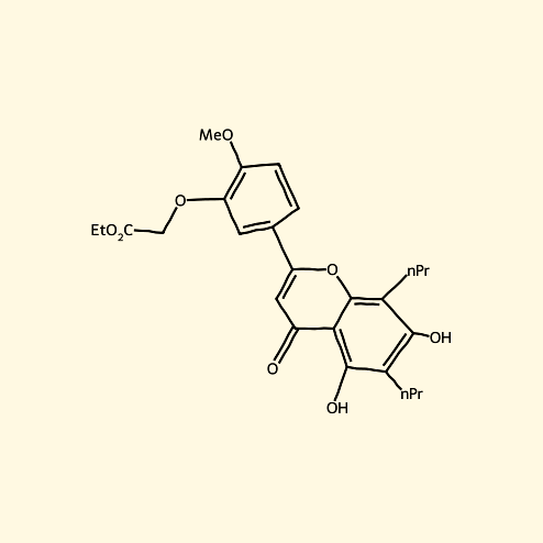 CCCc1c(O)c(CCC)c2oc(-c3ccc(OC)c(OCC(=O)OCC)c3)cc(=O)c2c1O